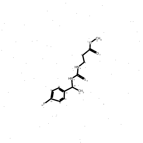 COC(=O)CCNC(=S)NC(C)c1ccc(F)cc1